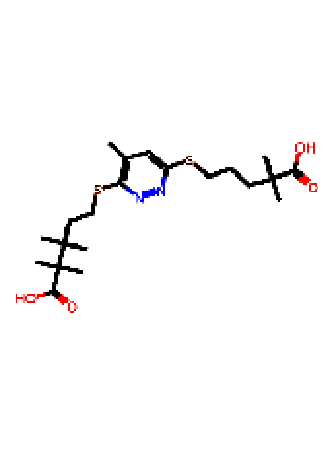 Cc1cc(SCCCC(C)(C)C(=O)O)nnc1SCCC(C)(C)C(C)(C)C(=O)O